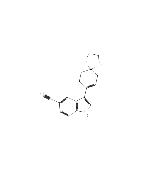 Cn1cc(C2=CCC3(CC2)OCCO3)c2cc(C#N)ccc21